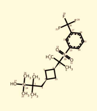 CC(C)(C[C@H]1C[C@@H](C(C)(C)S(=O)(=O)c2cccc(C(F)(F)F)c2)C1)[Si](C)(C)O